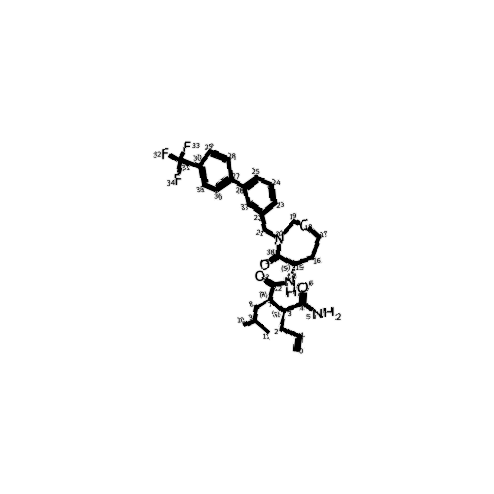 C=CC[C@H](C(N)=O)[C@@H](CC(C)C)C(=O)N[C@H]1CCCCN(Cc2cccc(-c3ccc(C(F)(F)F)cc3)c2)C1=O